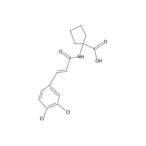 O=C(C=Cc1ccc(Cl)c(Cl)c1)NC1(C(=O)O)CCCC1